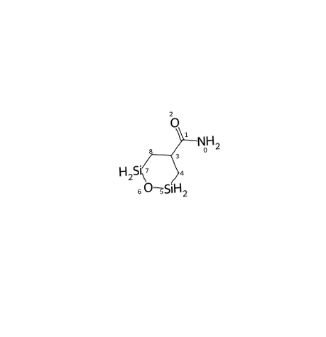 NC(=O)C1C[SiH2]O[SiH2]C1